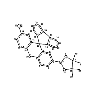 CC1(C)OB(c2ccc3c(c2)C2(c4cc(C#N)ccc4S3)c3ccccc3-c3ccccc32)OC1(C)C